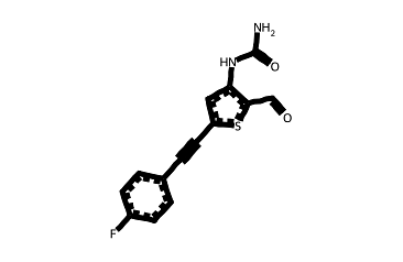 NC(=O)Nc1cc(C#Cc2ccc(F)cc2)sc1C=O